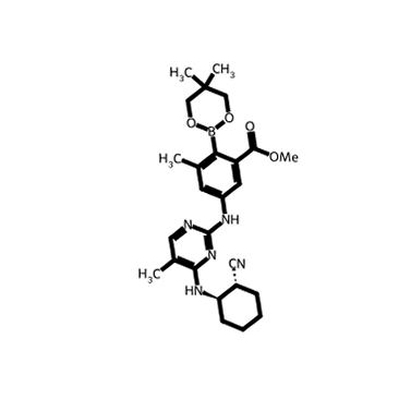 COC(=O)c1cc(Nc2ncc(C)c(N[C@@H]3CCCC[C@H]3C#N)n2)cc(C)c1B1OCC(C)(C)CO1